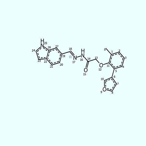 Cc1cccc(-c2ccoc2)c1OCC(=O)N/N=C/c1ccc2cc[nH]c2c1